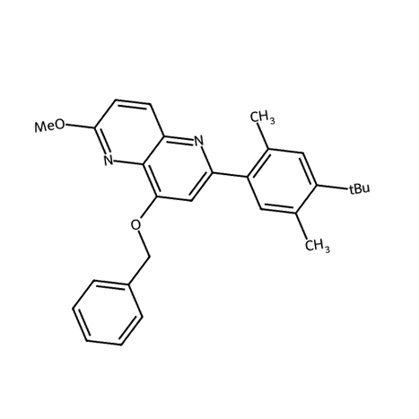 COc1ccc2nc(-c3cc(C)c(C(C)(C)C)cc3C)cc(OCc3ccccc3)c2n1